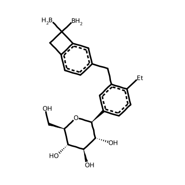 BC1(B)Cc2ccc(Cc3cc([C@@H]4O[C@H](CO)[C@@H](O)[C@H](O)[C@H]4O)ccc3CC)cc21